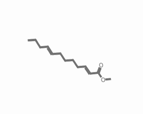 CCC/C=C/CCCC/C=C/C(=O)OC